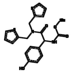 CC(C)(C)OC(=O)NC(C(=O)N(Cc1cccs1)Cc1cccs1)c1ccc(O)cc1